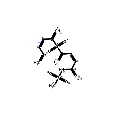 C=C/C=C\C(=C)S(=O)(=O)C(=C)/C=C\C(=C)NS(C)(=O)=O